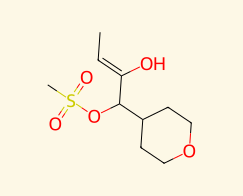 C/C=C(\O)C(OS(C)(=O)=O)C1CCOCC1